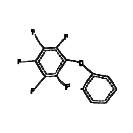 Fc1c(F)c(F)c(Oc2[c]cccc2)c(F)c1F